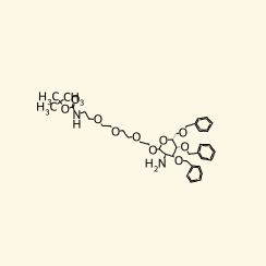 CC(C)(C)OC(=O)NCCOCCOCCOCCO[C@H]1O[C@H](COCc2ccccc2)[C@H](OCc2ccccc2)[C@H](OCc2ccccc2)[C@H]1N